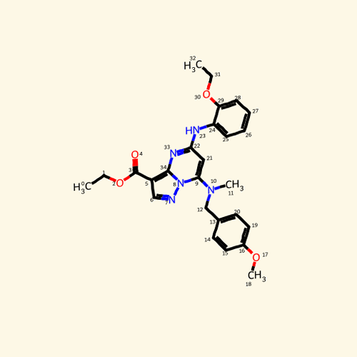 CCOC(=O)c1cnn2c(N(C)Cc3ccc(OC)cc3)cc(Nc3ccccc3OCC)nc12